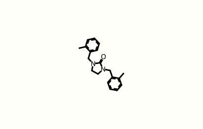 Cc1ccccc1CN1CCN(Cc2ccccc2C)C1=O